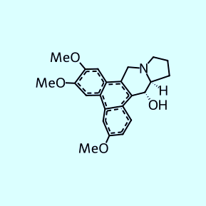 COc1ccc2c3c(c4cc(OC)c(OC)cc4c2c1)CN1CCC[C@H]1[C@@H]3O